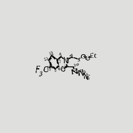 CCOOCCN(Cc1ccc(C(F)(F)F)cc1)C(=O)CN=[N+]=[N-]